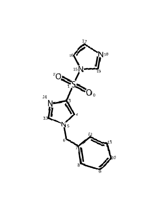 O=S(=O)(c1cn(Cc2ccccc2)cn1)n1ccnc1